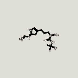 CCCCN(CCCC1=CN/C(=N\C=N)C1)C(=O)OC(C)(C)CC